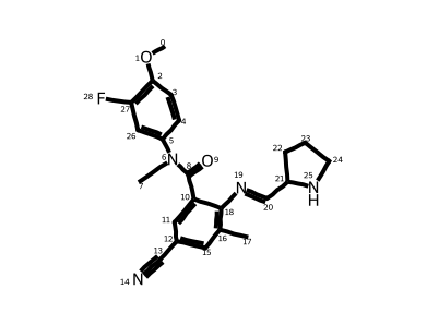 COc1ccc(N(C)C(=O)c2cc(C#N)cc(C)c2/N=C/C2CCCN2)cc1F